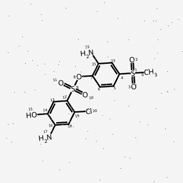 CS(=O)(=O)c1ccc(OS(=O)(=O)c2cc(O)c(N)cc2Cl)c(N)c1